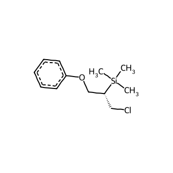 C[Si](C)(C)[C@H](CCl)COc1ccccc1